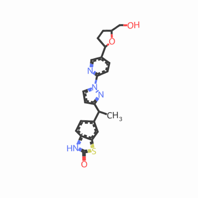 CC(c1ccc2[nH]c(=O)sc2c1)c1ccn(-c2ccc(C3CCC(CO)O3)cn2)n1